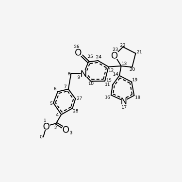 COC(=O)c1ccc(Cn2ccc(C3(c4ccncc4)CCCO3)cc2=O)cc1